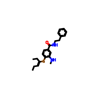 CC/C=C(\CC)Sc1ccc(C(=O)NCCc2ccccc2)cc1NC